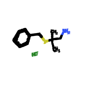 CC(C)(CN)SCc1ccccc1.Cl